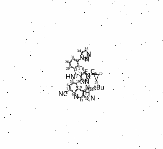 Cc1c([C@H](Nc2cc(C#N)c3ncc(C#N)c(NCC(C)(C)C)c3c2)c2cn(C3(C(F)(F)F)CC3)nn2)cccc1-n1ccnn1